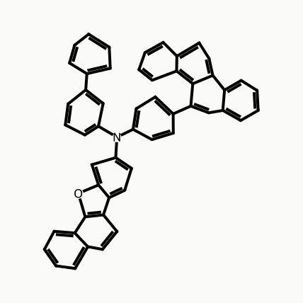 c1ccc(-c2cccc(N(c3ccc(-c4cc5ccccc5c5ccc6ccccc6c45)cc3)c3ccc4c(c3)oc3c5ccccc5ccc43)c2)cc1